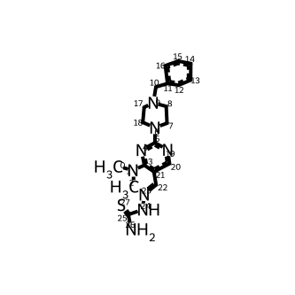 CN(C)c1nc(N2CCN(Cc3ccccc3)CC2)ncc1C=NNC(N)=S